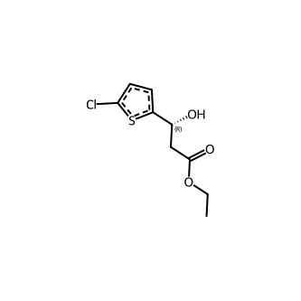 CCOC(=O)C[C@@H](O)c1ccc(Cl)s1